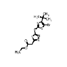 CCOC(=O)Cc1nnc(Sc2nc(C(C)(C)C)c(Br)s2)s1